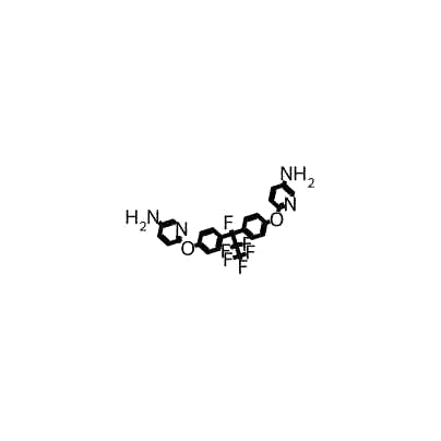 Nc1ccc(Oc2ccc(C(F)(c3ccc(Oc4ccc(N)cn4)cc3)C(F)(F)C(F)(F)F)cc2)nc1